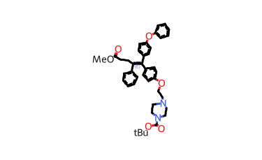 COC(=O)CC/C(=C(/c1ccc(OCCN2CCN(C(=O)OC(C)(C)C)CC2)cc1)c1ccc(Oc2ccccc2)cc1)c1ccccc1